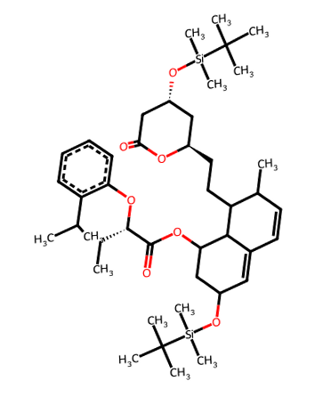 CC[C@H](Oc1ccccc1C(C)C)C(=O)OC1CC(O[Si](C)(C)C(C)(C)C)C=C2C=CC(C)C(CC[C@@H]3C[C@@H](O[Si](C)(C)C(C)(C)C)CC(=O)O3)C21